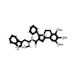 COc1cc2c(c(OC)c1OC)CCn1c-2cc(C(=O)N[C@@H](CO)Cc2c[nH]c3ccccc23)c1-c1ccccc1